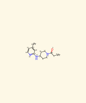 CC(C)CC(=O)N1CCC(Nc2cc(C(C)C)ccn2)CC1